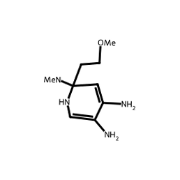 CNC1(CCOC)C=C(N)C(N)=CN1